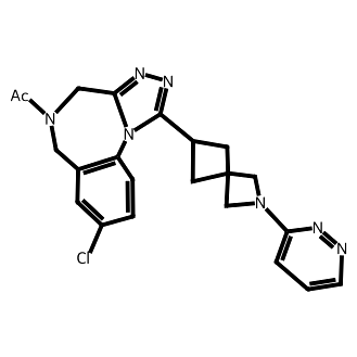 CC(=O)N1Cc2cc(Cl)ccc2-n2c(nnc2C2CC3(C2)CN(c2cccnn2)C3)C1